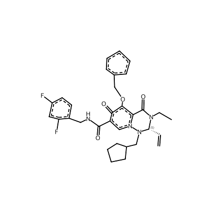 C=C[C@H]1N(CC)C(=O)c2c(OCc3ccccc3)c(=O)c(C(=O)NCc3ccc(F)cc3F)cn2N1CC1CCCC1